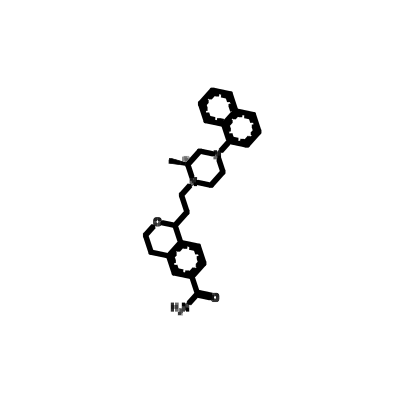 C[C@H]1CN(c2cccc3ccccc23)CCN1CCC1OCCc2cc(C(N)=O)ccc21